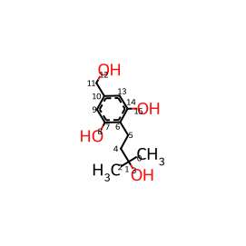 CC(C)(O)CCc1c(O)cc(CO)cc1O